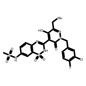 CC(C)(C)Cc1nn(Cc2ccc(F)c(Cl)c2)c(=O)c(C2=Nc3ccc(NS(C)(=O)=O)cc3S(=O)(=O)N2)c1O